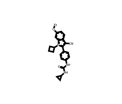 CCOc1ccc2c(C#N)c(-c3ccc(NC(=O)NC4CC4)cc3)n(C3CCC3)c2c1